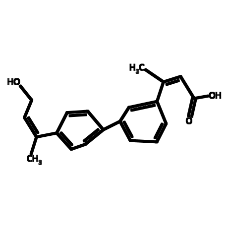 C/C(=C/CO)c1ccc(-c2cccc(/C(C)=C\C(=O)O)c2)cc1